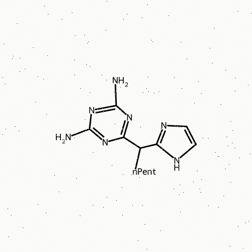 CCCCCC(c1nc(N)nc(N)n1)c1ncc[nH]1